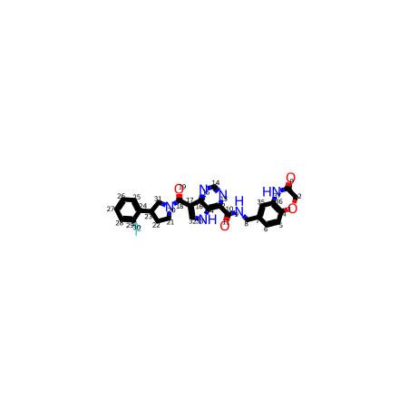 O=C1COc2ccc(CNC(=O)c3ncnc4c(C(=O)N5CCC(c6ccccc6F)C5)c[nH]c34)cc2N1